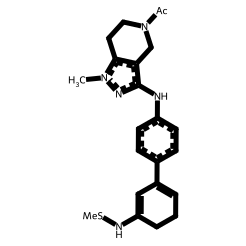 CSNC1=CC(c2ccc(Nc3nn(C)c4c3CN(C(C)=O)CC4)cc2)=CCC1